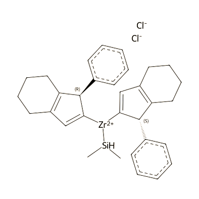 C[SiH](C)[Zr+2]([C]1=CC2=C(CCCC2)[C@@H]1c1ccccc1)[C]1=CC2=C(CCCC2)[C@H]1c1ccccc1.[Cl-].[Cl-]